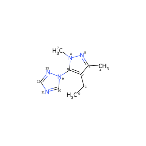 CCc1c(C)nn(C)c1-n1cncn1